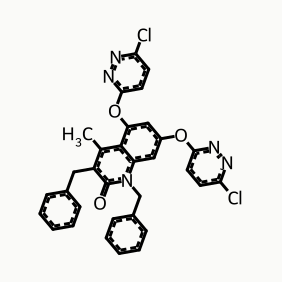 Cc1c(Cc2ccccc2)c(=O)n(Cc2ccccc2)c2cc(Oc3ccc(Cl)nn3)cc(Oc3ccc(Cl)nn3)c12